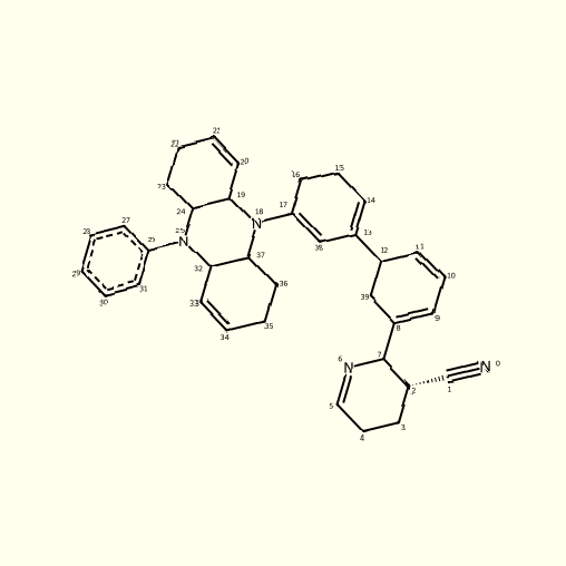 N#C[C@@H]1CCC=NC1C1=CC=CC(C2=CCCC(N3C4C=CCCC4N(c4ccccc4)C4C=CCCC43)=C2)C1